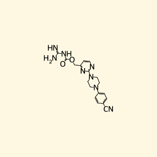 N#Cc1ccc(N2CCN(c3nccc(COC(=O)NC(=N)N)n3)CC2)cc1